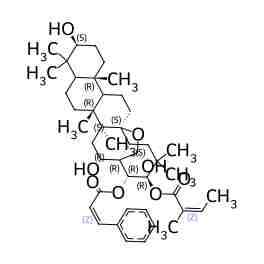 C/C=C(/C)C(=O)O[C@H]1[C@H](OC(=O)/C=C\c2ccccc2)[C@@]23C(CC1(C)C)[C@]1(CCC4[C@@]5(C)CC[C@H](O)C(C)(C)C5CC[C@@]4(C)[C@]1(C)C[C@H]2O)O[C@@H]3O